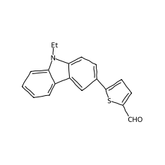 CCn1c2ccccc2c2cc(-c3ccc(C=O)s3)ccc21